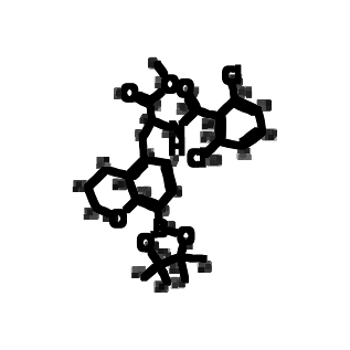 COC(=O)C(Cc1ccc(B2OC(C)(C)C(C)(C)O2)c2c1CCCO2)NC(=O)c1c(Cl)cccc1Cl